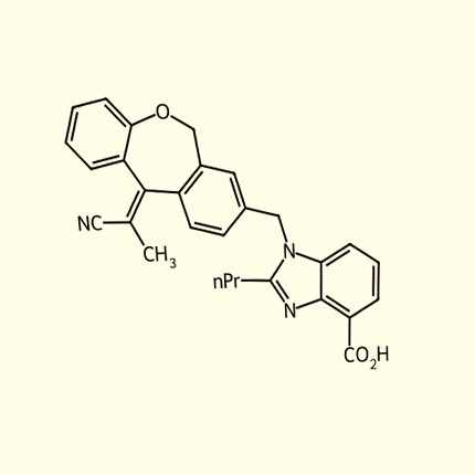 CCCc1nc2c(C(=O)O)cccc2n1Cc1ccc2c(c1)COc1ccccc1/C2=C(/C)C#N